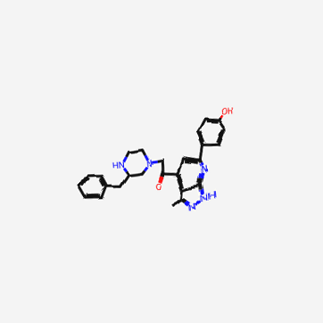 Cc1n[nH]c2nc(-c3ccc(O)cc3)cc(C(=O)CN3CCNC(Cc4ccccc4)C3)c12